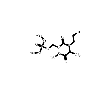 CC(C(=O)OC(C)(C)C)N(CCO)C(=O)OCOP(=O)(OC(C)(C)C)OC(C)(C)C